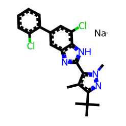 Cc1c(C(C)(C)C)nn(C)c1-c1nc2cc(-c3ccccc3Cl)cc(Cl)c2[nH]1.[Na]